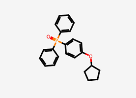 O=P(c1ccccc1)(c1ccccc1)c1ccc(OC2CCCC2)cc1